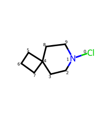 ClN1CCC2(CCC2)CC1